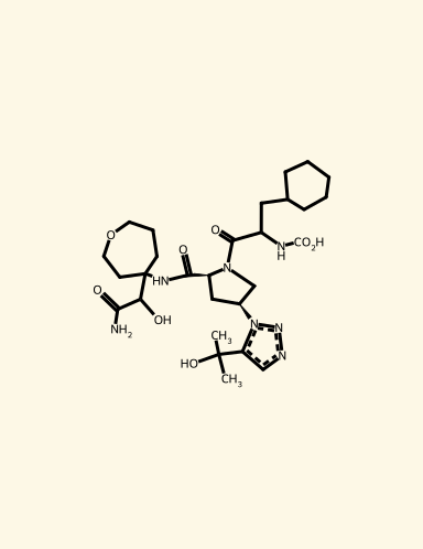 CC(C)(O)c1cnnn1[C@H]1C[C@@H](C(=O)NC2(C(O)C(N)=O)CCCOCC2)N(C(=O)C(CC2CCCCC2)NC(=O)O)C1